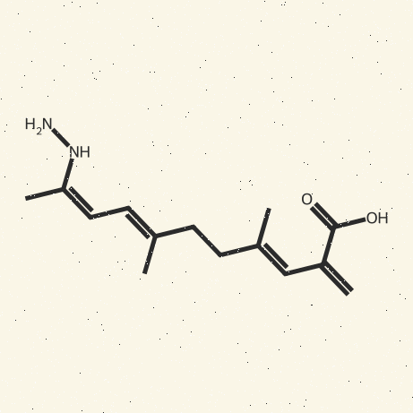 C=C(/C=C(\C)CC/C(C)=C/C=C(/C)NN)C(=O)O